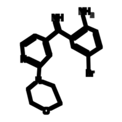 N=C(c1ccnc(N2CCOCC2)c1)c1cc(Br)ccc1N